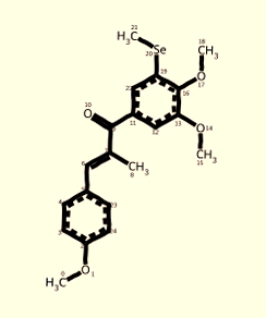 COc1ccc(/C=C(\C)C(=O)c2cc(OC)c(OC)c([Se]C)c2)cc1